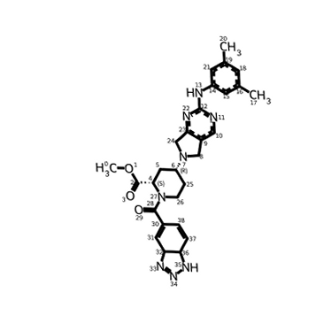 COC(=O)[C@@H]1C[C@H](N2Cc3cnc(Nc4cc(C)cc(C)c4)nc3C2)CCN1C(=O)C1=CC2N=NNC2C=C1